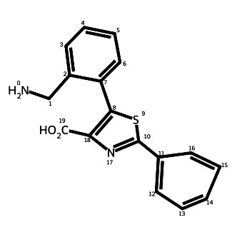 NCc1ccccc1-c1sc(-c2ccccc2)nc1C(=O)O